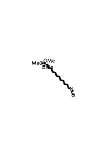 CO[Si](CCCCCCCCCCCCN=C=O)(OC)OC